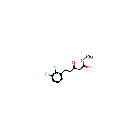 CC(C)(C)OC(=O)CC(=O)CCc1cccc(F)c1F